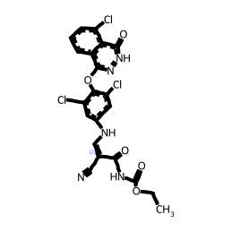 CCOC(=O)NC(=O)/C(C#N)=C\Nc1cc(Cl)c(Oc2n[nH]c(=O)c3c(Cl)cccc23)c(Cl)c1